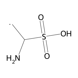 [CH2]C(N)S(=O)(=O)O